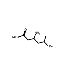 CCCCCC(C)CC(N)CC(=O)OC